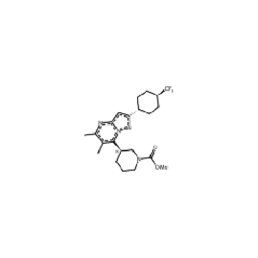 COC(=O)N1CCC[C@@H](c2c(C)c(C)nc3cc([C@H]4CC[C@H](C(F)(F)F)CC4)nn23)C1